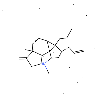 C=CCC1CC(NC)C23C4CCC(=C)C4(C)CCC2C13CCC